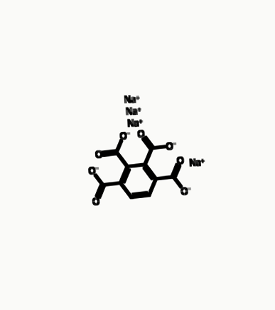 O=C([O-])c1ccc(C(=O)[O-])c(C(=O)[O-])c1C(=O)[O-].[Na+].[Na+].[Na+].[Na+]